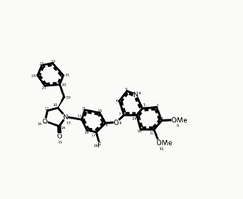 COc1cc2nccc(Oc3ccc(N4C(=O)OC[C@H]4Cc4ccccc4)cc3F)c2cc1OC